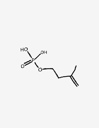 C=C(C)CCOP(=O)(O)O